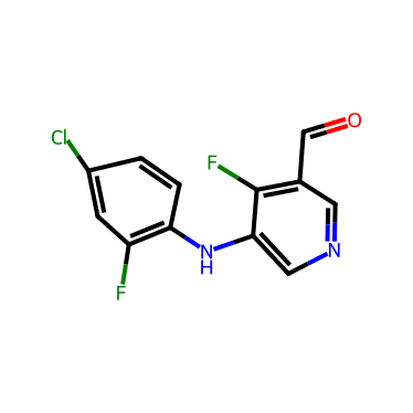 O=Cc1cncc(Nc2ccc(Cl)cc2F)c1F